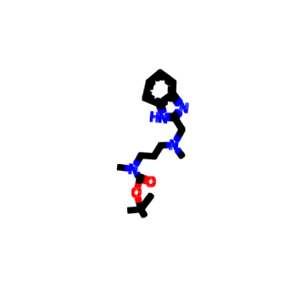 CN(CCCN(C)C(=O)OC(C)(C)C)Cc1nc2ccccc2[nH]1